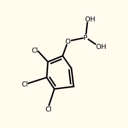 OP(O)Oc1ccc(Cl)c(Cl)c1Cl